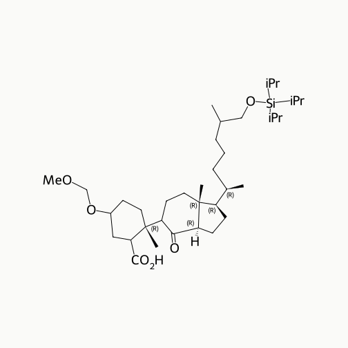 COCOC1CC[C@](C)(C2CC[C@]3(C)[C@@H]([C@H](C)CCCC(C)CO[Si](C(C)C)(C(C)C)C(C)C)CC[C@H]3C2=O)C(C(=O)O)C1